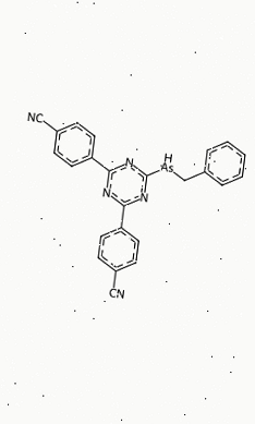 N#Cc1ccc(-c2nc([AsH]Cc3ccccc3)nc(-c3ccc(C#N)cc3)n2)cc1